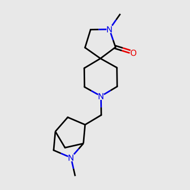 CN1CCC2(CCN(CC3CC4CC3N(C)C4)CC2)C1=O